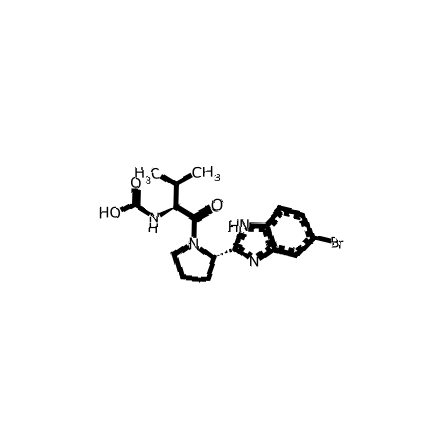 CC(C)[C@H](NC(=O)O)C(=O)N1CCC[C@H]1c1nc2cc(Br)ccc2[nH]1